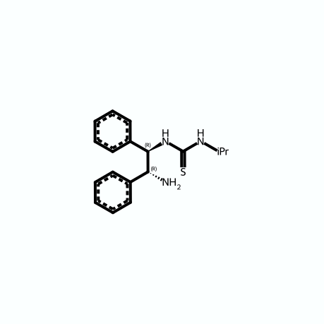 CC(C)NC(=S)N[C@H](c1ccccc1)[C@H](N)c1ccccc1